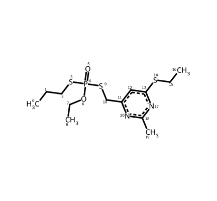 CCCSP(=O)(OCC)SCc1cc(SCC)nc(C)n1